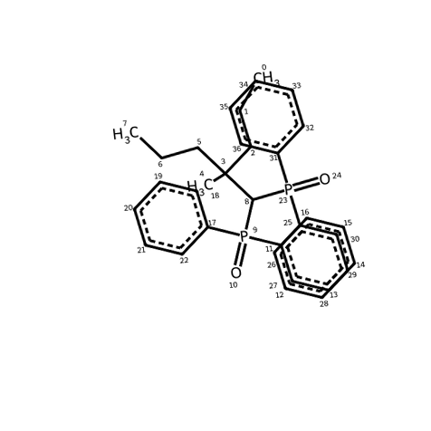 CCCC(C)(CCC)C(P(=O)(c1ccccc1)c1ccccc1)P(=O)(c1ccccc1)c1ccccc1